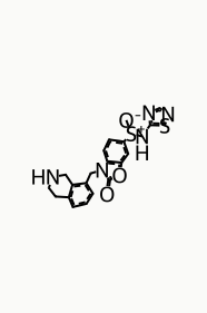 O=c1oc2cc([S+]([O-])Nc3ncns3)ccc2n1Cc1cccc2c1CNCC2